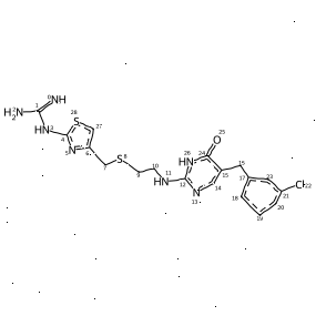 N=C(N)Nc1nc(CSCCNc2ncc(Cc3cccc(Cl)c3)c(=O)[nH]2)cs1